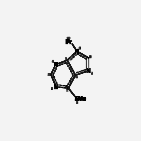 CSc1ncnc2c1ncn2C(C)C